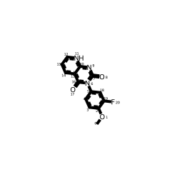 COc1ccc(-n2c(=O)nc3[nH]cccc-3c2=O)cc1F